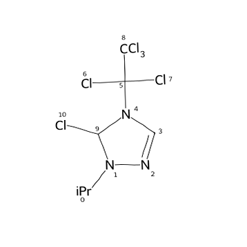 CC(C)N1N=CN(C(Cl)(Cl)C(Cl)(Cl)Cl)C1Cl